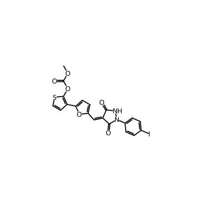 COC(=O)Oc1sccc1-c1ccc(C=C2C(=O)NN(c3ccc(I)cc3)C2=O)o1